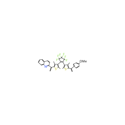 C=C(c1ccc(OC)cc1)c1sc(C)c(C2=C(c3c(C)sc(C(=C)c4ccc5ccccc5n4)c3C)C(F)(F)C(F)(F)C2(F)F)c1C